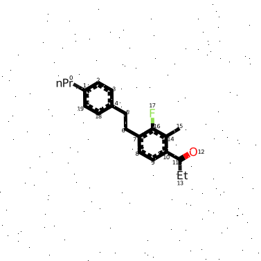 CCCc1ccc(CCc2ccc(C(=O)CC)c(C)c2F)cc1